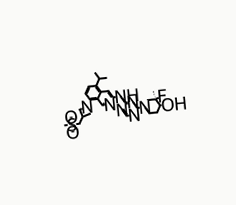 CC(C)c1ccc(N2CC(CS(C)(=O)=O)C2)c2cnc(Nc3ncnc(N4CC[C@H](O)[C@](C)(F)C4)n3)cc12